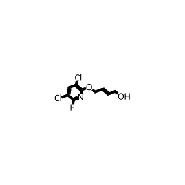 OCC=CCOc1nc(F)c(Cl)cc1Cl